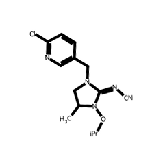 CC(C)ON1C(=NC#N)N(Cc2ccc(Cl)nc2)CC1C